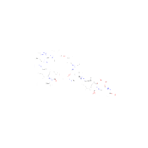 CNC(=O)COc1cc2cc(Nc3nc(N4CCC(OC5CC(N6CCC7(CC6)CN(c6ccc8c(c6C)C(=O)N(C6CCC(=O)NC6=O)C8=O)C7)C5)CC4)ncc3Cl)ccc2n(C(C)C)c1=O